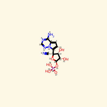 N#C[C@@]1(c2ccc3c(N)ncnn23)O[C@H](OP(=O)(O)O)[C@@H](O)[C@H]1O